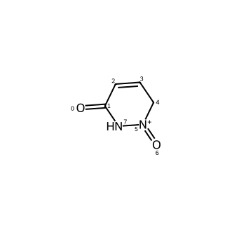 O=C1C=CC[N+](=O)N1